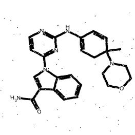 CC1(N2CCOCC2)C=CC(Nc2nccc(-n3cc(C(N)=O)c4ccccc43)n2)=CC1